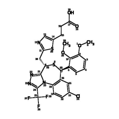 COc1cccc([C@@H]2S[C@@H](Cc3ncc(CCC(=O)O)s3)c3nnc(C(F)(F)F)n3-c3ccc(Cl)cc32)c1OC